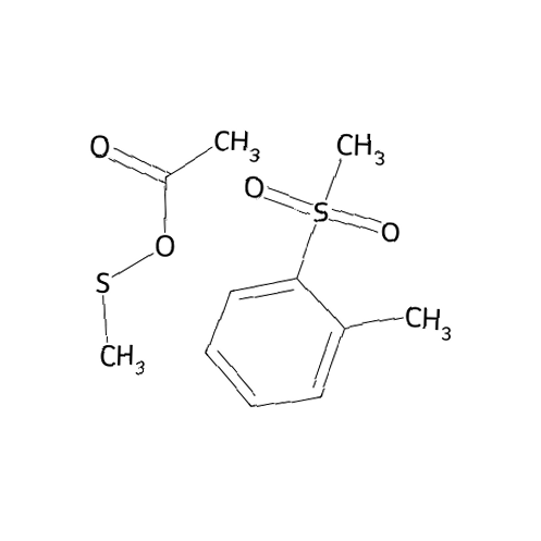 CSOC(C)=O.Cc1ccccc1S(C)(=O)=O